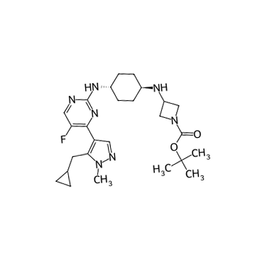 Cn1ncc(-c2nc(N[C@H]3CC[C@H](NC4CN(C(=O)OC(C)(C)C)C4)CC3)ncc2F)c1CC1CC1